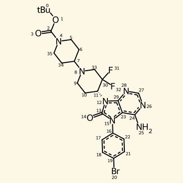 CC(C)(C)OC(=O)N1CCC(N2CC[C@@H](n3c(=O)n(-c4ccc(Br)cc4)c4c(N)ncnc43)C(F)(F)C2)CC1